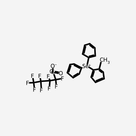 Cc1ccccc1[Se+](c1ccccc1)c1ccccc1.O=S(=O)([O-])C(F)(F)C(F)(F)C(F)(F)C(F)(F)F